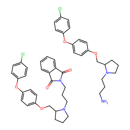 NCCCN1CCCC1COc1ccc(Oc2ccc(Cl)cc2)cc1.O=C1c2ccccc2C(=O)N1CCCN1CCCC1COc1ccc(Oc2ccc(Cl)cc2)cc1